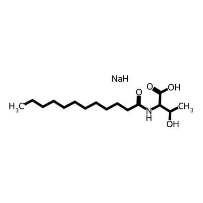 CCCCCCCCCCCC(=O)NC(C(=O)O)C(C)O.[NaH]